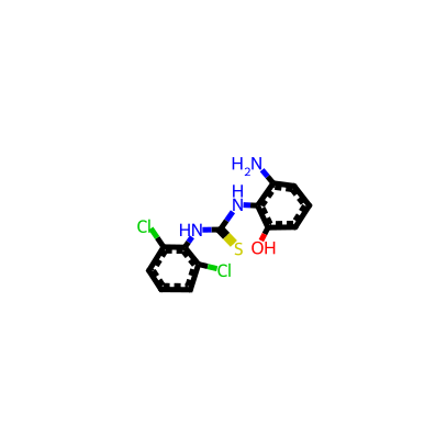 Nc1cccc(O)c1NC(=S)Nc1c(Cl)cccc1Cl